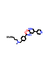 CNCCCN(C)Cc1ccc(C(=O)Nc2cc(-c3ccncc3)c[nH]c2=O)cc1